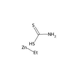 C[CH2][Zn].NC(=S)S